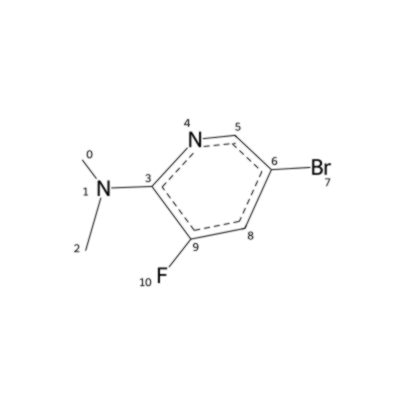 CN(C)c1ncc(Br)cc1F